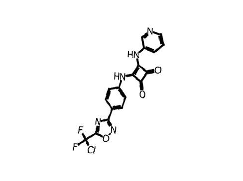 O=c1c(Nc2ccc(-c3noc(C(F)(F)Cl)n3)cc2)c(Nc2cccnc2)c1=O